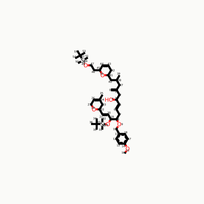 C=C(CC(O)C=CCC(OCc1ccc(OC)cc1)C(C=CC1CC(C)=CCO1)O[Si](C)(C)C(C)(C)C)CC(C)CC1CC=CC(CCO[Si](C)(C)C(C)(C)C)O1